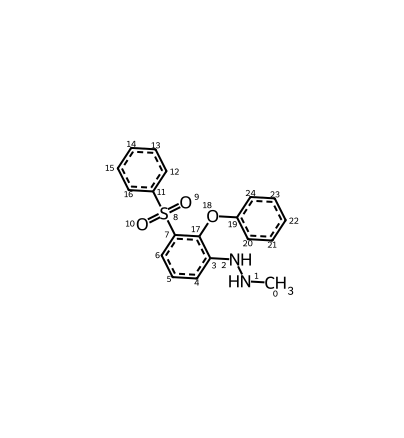 CNNc1cccc(S(=O)(=O)c2ccccc2)c1Oc1ccccc1